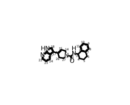 O=C(NC1CCCc2ccccc21)N1CC=C(c2c[nH]c3ncccc23)CC1